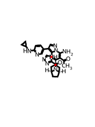 CC(=O)c1c([C@H]2C[C@H]3CC[C@@H](C2)N3C(=O)c2nnc[nH]2)nc2c(-c3ccc(NC4CC4)nc3)cnn2c1N